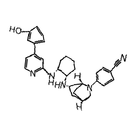 N#Cc1ccc(N2C[C@@H]3C[C@H](N[C@@H]4CCCC[C@H]4Nc4cc(-c5cccc(O)c5)ccn4)[C@H]2C3)cc1